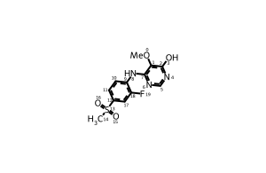 COc1c(O)ncnc1Nc1ccc(S(C)(=O)=O)cc1F